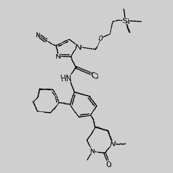 CN1CC(c2ccc(NC(=O)c3nc(C#N)cn3COCC[Si](C)(C)C)c(C3=CCCCC3)c2)CN(C)C1=O